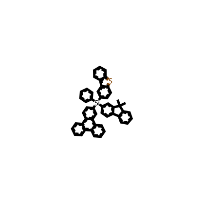 CC1(C)c2ccccc2-c2ccc([Si](c3ccccc3)(c3ccc4sc5ccccc5c4c3)c3ccc4c5ccccc5c5ccccc5c4c3)cc21